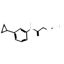 COCC(=O)Nc1cccc(C2CC2)c1